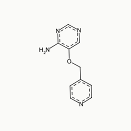 Nc1ncncc1OCc1ccncc1